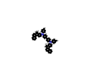 Cc1ccc(N(c2ccc(-c3ccc(N(c4ccc(C)cc4)c4ccc5c(c4)C(C)(C)c4ccc6ccccc6c4-5)cc3)cc2)c2ccc3c(c2)C(C)(C)c2ccc4ccccc4c2-3)cc1